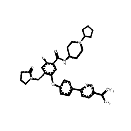 CC(C)c1ccc(-c2ccc(Oc3cc(C(=O)NC4CCN(C5CCCC5)CC4)c(F)cc3CN3CCCC3=O)cc2)nn1